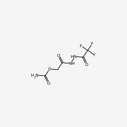 NC(=O)OCC(=O)NNC(=O)C(F)(F)F